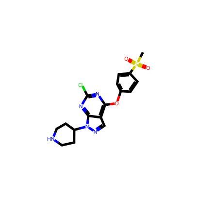 CS(=O)(=O)c1ccc(Oc2nc(Cl)nc3c2cnn3C2CCNCC2)cc1